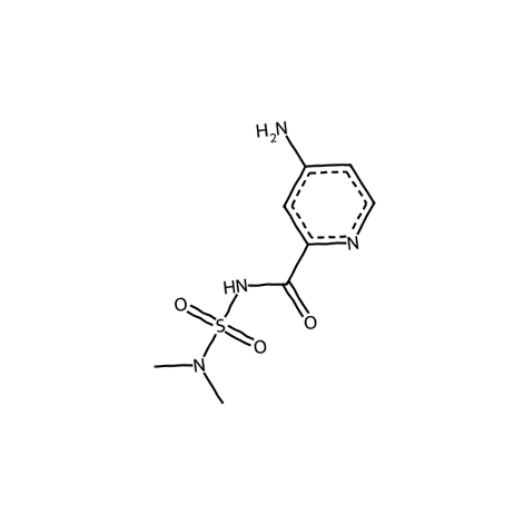 CN(C)S(=O)(=O)NC(=O)c1cc(N)ccn1